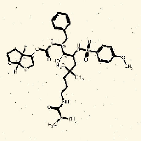 COc1ccc(S(=O)(=O)NC(CC(C)(C)CCCNC(=O)N(C)C)[C@H](O)[C@H](Cc2ccccc2)NC(=O)O[C@@H]2CO[C@@H]3OCC[C@@H]32)cc1